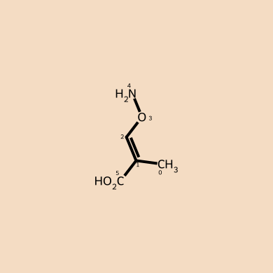 CC(=CON)C(=O)O